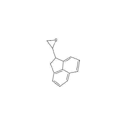 c1cc2c3c(cccc3c1)C(C1CO1)C2